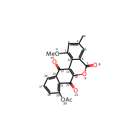 COc1cc(C)cc2c(=O)oc3c(c12)C(=O)c1cccc(OC(C)=O)c1C3=O